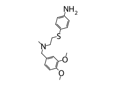 COc1ccc(CN(C)CCSc2ccc(N)cc2)cc1OC